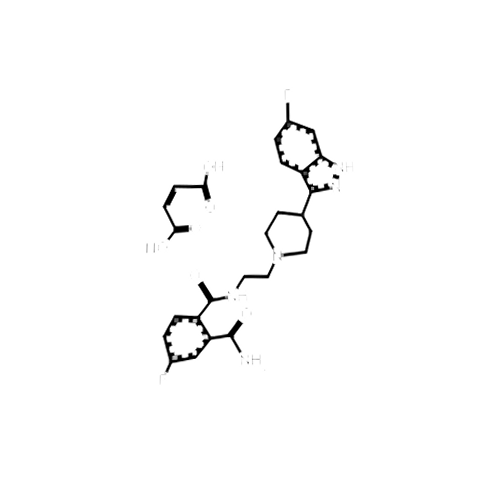 NC(=O)c1cc(F)ccc1C(=O)NCCN1CCC(c2n[nH]c3cc(F)ccc23)CC1.O=C(O)/C=C\C(=O)O